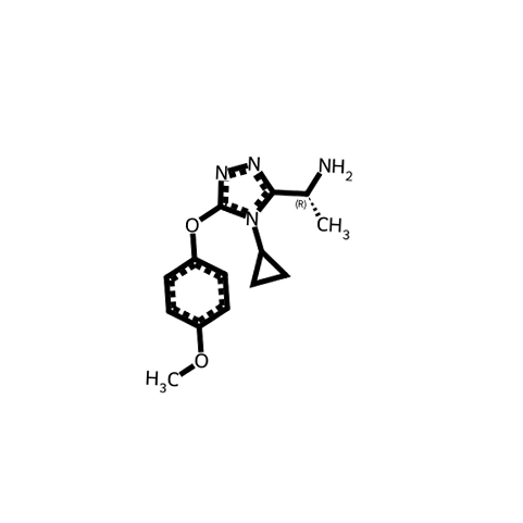 COc1ccc(Oc2nnc([C@@H](C)N)n2C2CC2)cc1